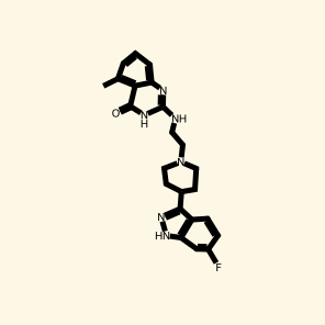 Cc1cccc2nc(NCCN3CCC(c4n[nH]c5cc(F)ccc45)CC3)[nH]c(=O)c12